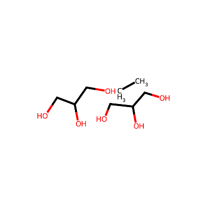 CC.OCC(O)CO.OCC(O)CO